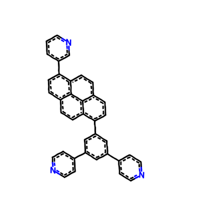 c1cncc(-c2ccc3ccc4c(-c5cc(-c6ccncc6)cc(-c6ccncc6)c5)ccc5ccc2c3c54)c1